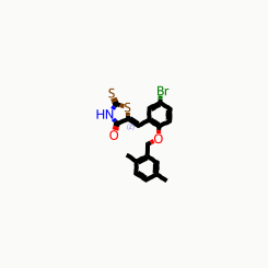 Cc1ccc(C)c(COc2ccc(Br)cc2/C=C2\SC(=S)NC2=O)c1